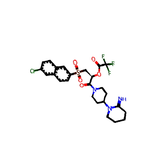 N=C1CCCCN1C1CCN(C(=O)[C@@H](CS(=O)(=O)c2ccc3cc(Cl)ccc3c2)OC(=O)C(F)(F)F)CC1